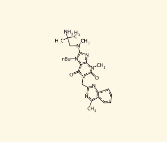 CCCCn1c(N(C)CC(C)(C)N)nc2c1c(=O)n(Cc1nc(C)c3ccccc3n1)c(=O)n2C